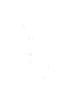 CCCC(C(=O)Nc1ncc(Br)s1)n1cc(Br)c(C(F)(F)F)n1